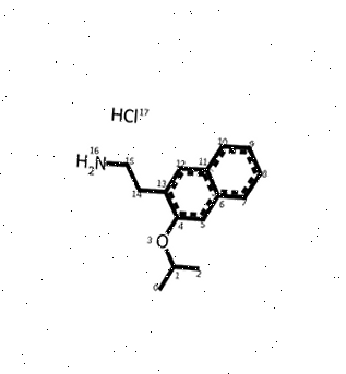 CC(C)Oc1cc2ccccc2cc1CCN.Cl